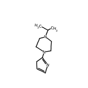 CC(C)N1CCN(C2=NC=CC2)CC1